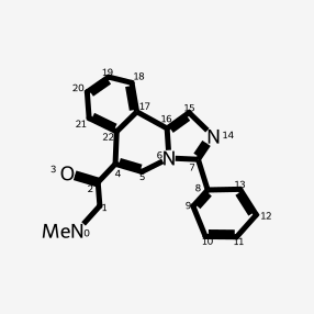 CNCC(=O)c1cn2c(-c3ccccc3)ncc2c2ccccc12